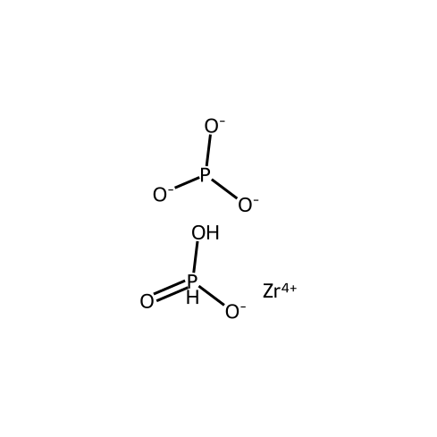 O=[PH]([O-])O.[O-]P([O-])[O-].[Zr+4]